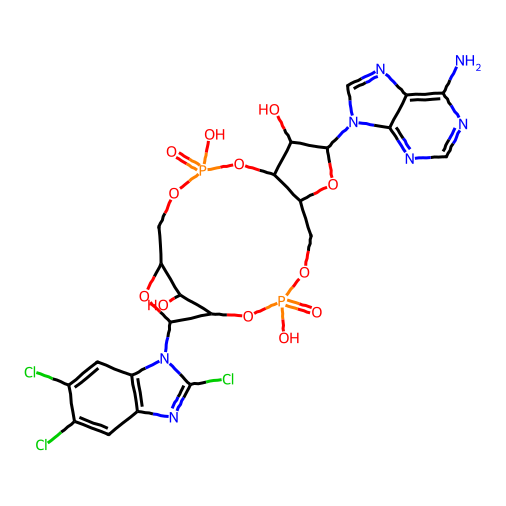 Nc1ncnc2c1ncn2C1OC2COP(=O)(O)OC3C(O)C(COP(=O)(O)OC2C1O)OC3n1c(Cl)nc2cc(Cl)c(Cl)cc21